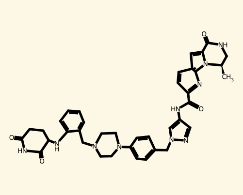 C[C@@H]1CNC(=O)c2cc3ccc(C(=O)Nc4cnn(Cc5ccc(N6CCN(Cc7ccccc7NC7CCC(=O)NC7=O)CC6)cc5)c4)nc3n21